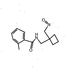 Cc1ccccc1C(=O)NCC1(CN=O)CCC1